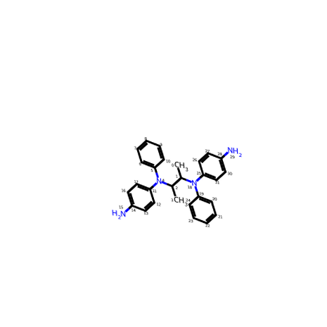 CC(C(C)N(c1ccccc1)c1ccc(N)cc1)N(c1ccccc1)c1ccc(N)cc1